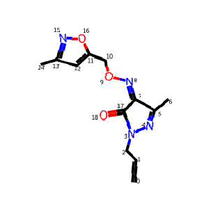 C=CCN1N=C(C)C(=NOCc2cc(C)no2)C1=O